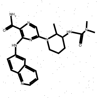 CC1C(NC(=O)N(C)C)CCCN1c1cnc(C(N)=O)c(Nc2ccc3ncccc3c2)n1